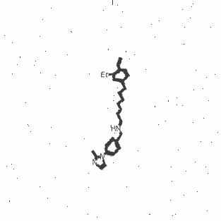 C=Cc1ccc(CCCCCCCNCc2ccc(-n3ccnc3C)cc2)cc1CC